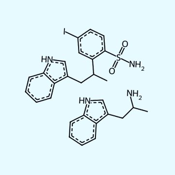 CC(Cc1c[nH]c2ccccc12)c1cc(I)ccc1S(N)(=O)=O.CC(N)Cc1c[nH]c2ccccc12